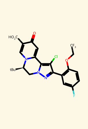 CC(C)(C)[C@@H]1Cn2nc(-c3cc(F)ccc3OCC(F)(F)F)c(Cl)c2-c2cc(=O)c(C(=O)O)cn21